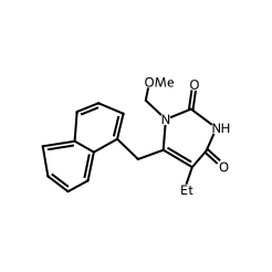 CCc1c(Cc2cccc3ccccc23)n(COC)c(=O)[nH]c1=O